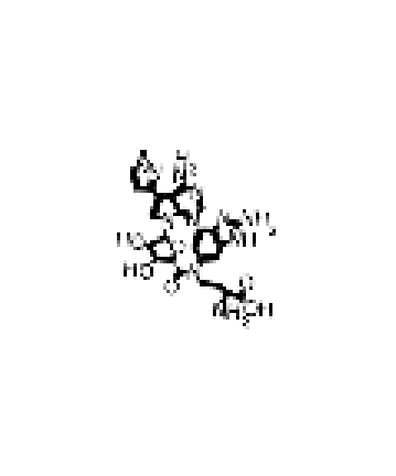 Cn1ccc(-c2cn([C@@H]3O[C@H](C(=O)N(CCC(N)C(=O)O)c4ccc5nc(N)[nH]c5c4)[C@@H](O)[C@H]3O)c3ncnc(N)c23)n1